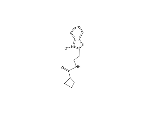 O=C(NCCc1sc2ccccc2[n+]1[O-])C1CCC1